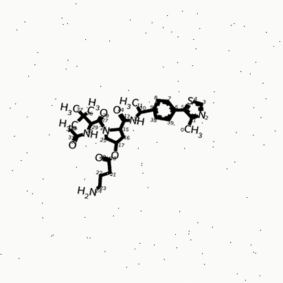 Cc1ncsc1-c1ccc(C(C)NC(=O)C2CC(OC(=O)CCCN)CN2C(=O)C(NC(=O)I)C(C)(C)C)cc1